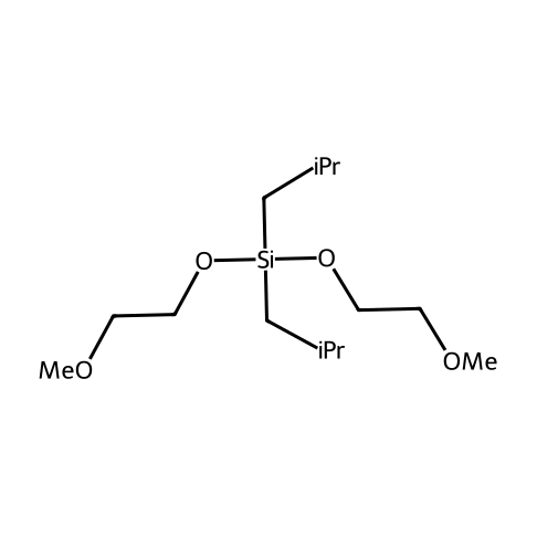 COCCO[Si](CC(C)C)(CC(C)C)OCCOC